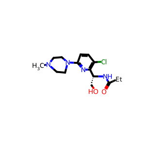 CCC(=O)N[C@H](CO)c1nc(N2CCN(C)CC2)ccc1Cl